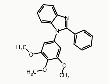 COc1cc(-n2c(-c3ccccc3)nc3ccccc32)cc(OC)c1OC